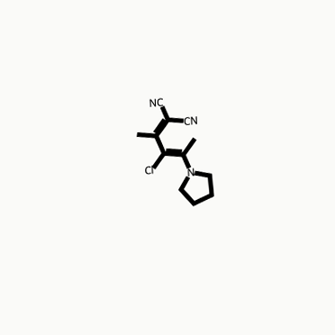 CC(=C(C#N)C#N)/C(Cl)=C(\C)N1CCCC1